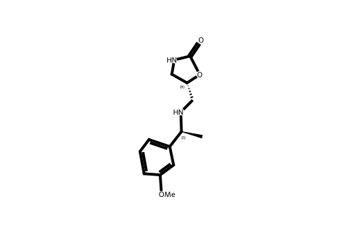 COc1cccc([C@H](C)NC[C@@H]2CNC(=O)O2)c1